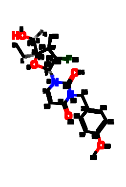 CC[C@@]1([C@@H](C)O)O[C@@H](n2ccc(=O)n(Cc3ccc(OC)cc3)c2=O)[C@H](F)[C@@H]1C